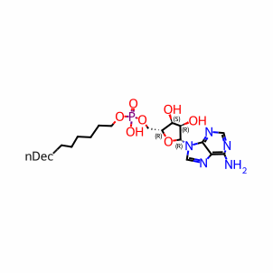 CCCCCCCCCCCCCCCCOP(=O)(O)OC[C@H]1O[C@@H](n2cnc3c(N)ncnc32)[C@H](O)[C@@H]1O